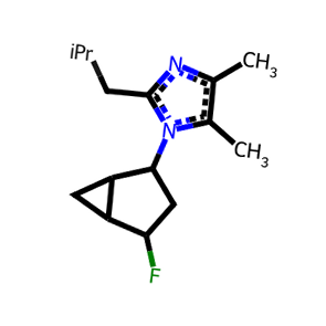 Cc1nc(CC(C)C)n(C2CC(F)C3CC32)c1C